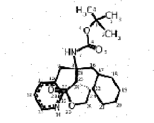 CC(C)(C)OC(=O)N[C@](Cc1cccnc1)(CC1CCCCC1)[C@@H]1CCOC1=O